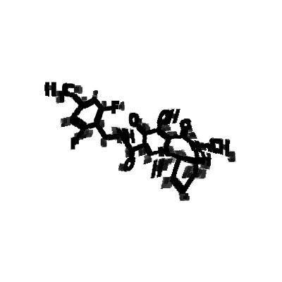 Cc1cc(F)c(CNC(=O)c2cn3c(c(O)c2=O)C(=O)N(C)[C@@H]2CCC[C@H]23)c(F)c1